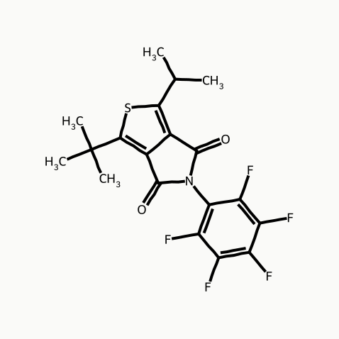 CC(C)c1sc(C(C)(C)C)c2c1C(=O)N(c1c(F)c(F)c(F)c(F)c1F)C2=O